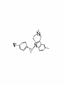 Cc1ccc2c(c1)c1c(n2[C@H]2C[C@H]2c2ccc(F)cc2)CCN(C)C1